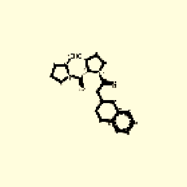 O=C[C@@H]1CCCN1C(=O)[C@@H]1CCCN1C(=O)CC1CCc2ccccc2C1